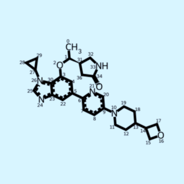 CC(Oc1cc(-c2ccc(N3CCC(C4COC4)CC3)cn2)cc2ncn(C3CC3)c12)[C@H]1CNC(=O)C1